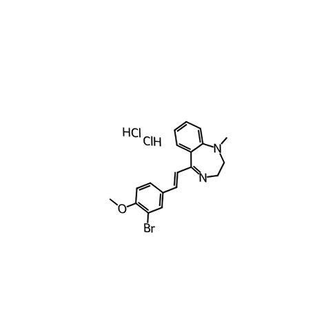 COc1ccc(/C=C/C2=NCCN(C)c3ccccc32)cc1Br.Cl.Cl